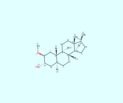 CCO[C@H]1C[C@H]2[C@@H](CC[C@@H]3[C@@H]2CC[C@]2(C)[C@@H](C#N)CC[C@@H]32)C[C@@H]1O